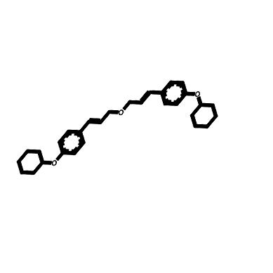 C(=Cc1ccc(OC2CCCCC2)cc1)COCC=Cc1ccc(OC2CCCCC2)cc1